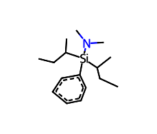 CCC(C)[Si](c1ccccc1)(C(C)CC)N(C)C